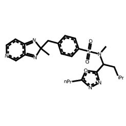 CCCc1nnc(C(CC(C)C)N(C)S(=O)(=O)c2ccc(CC3(C)N=c4ccncc4=N3)cc2)o1